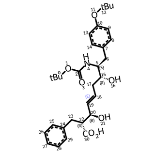 CC(C)(C)OC(=O)N[C@@H](Cc1ccc(OC(C)(C)C)cc1)[C@H](O)C/C=C/[C@@H](O)[C@@H](Cc1ccccc1)C(=O)O